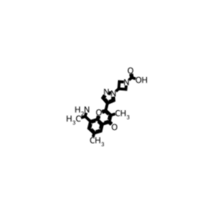 Cc1cc(C(C)N)c2oc(-c3cnn(C4CN(C(=O)O)C4)c3)c(C)c(=O)c2c1